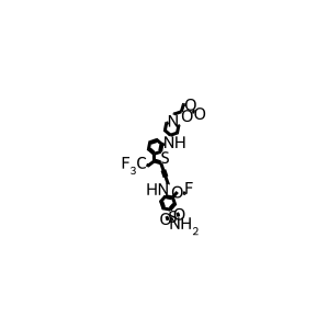 NS(=O)(=O)c1ccc(NCC#Cc2sc3c(NC4CCN(CC5COC(=O)O5)CC4)cccc3c2CC(F)(F)F)c(OCF)c1